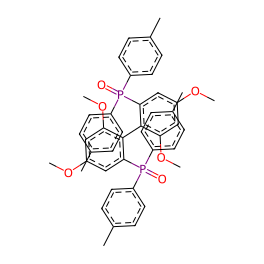 COc1cc(OC)c(-c2c(OC)cc(OC)cc2P(=O)(c2ccc(C)cc2)c2ccc(C)cc2)c(P(=O)(c2ccc(C)cc2)c2ccc(C)cc2)c1